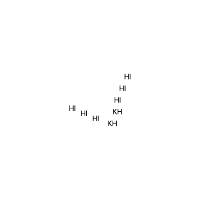 I.I.I.I.I.I.[KH].[KH]